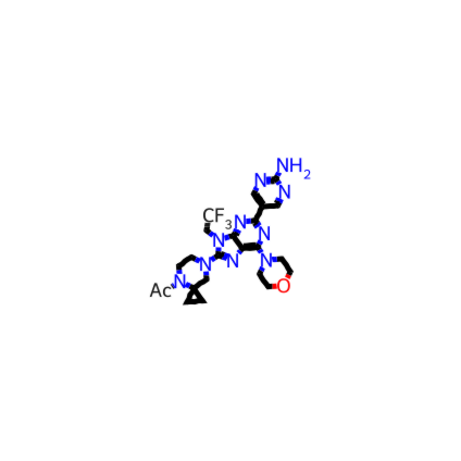 CC(=O)N1CCN(c2nc3c(N4CCOCC4)nc(-c4cnc(N)nc4)nc3n2CC(F)(F)F)CC12CC2